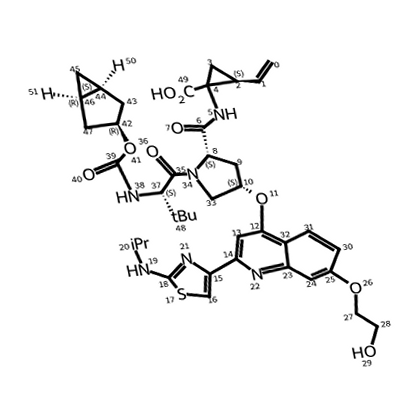 C=C[C@@H]1CC1(NC(=O)[C@@H]1C[C@H](Oc2cc(-c3csc(NC(C)C)n3)nc3cc(OCCO)ccc23)CN1C(=O)[C@@H](NC(=O)O[C@@H]1C[C@@H]2C[C@@H]2C1)C(C)(C)C)C(=O)O